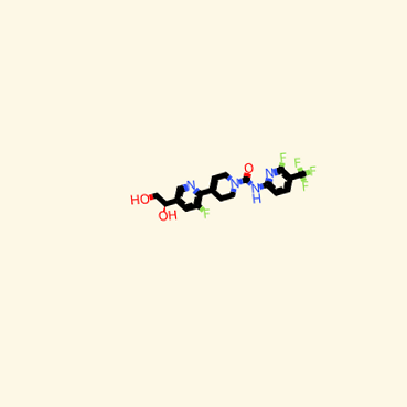 O=C(Nc1ccc(C(F)(F)F)c(F)n1)N1CC=C(c2ncc([C@H](O)CO)cc2F)CC1